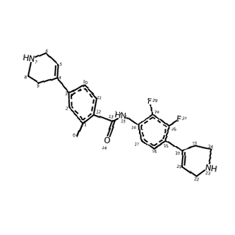 Cc1cc(C2=CCNCC2)ccc1C(=O)Nc1ccc(C2=CCNCC2)c(F)c1F